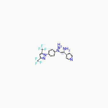 N/C(=C\N(N)c1ccc(-n2nc(C(F)(F)F)cc2C(F)(F)F)cc1)c1ccncc1